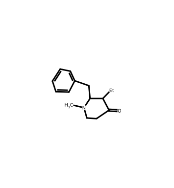 CCC1C(=O)CCN(C)C1Cc1ccccc1